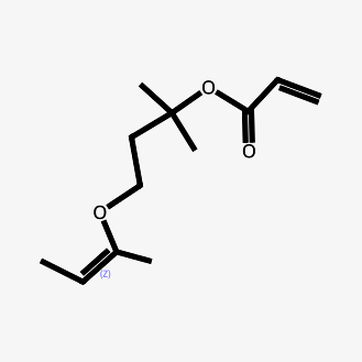 C=CC(=O)OC(C)(C)CCO/C(C)=C\C